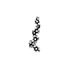 CC(C)N1CCC(n2ccc(-c3cc4nccc(OC5=CCC(NC(=O)C6(C(=O)NC7=CCC(F)C=C7)CC6)C=C5F)c4cn3)n2)CC1